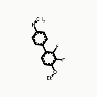 C=Nc1ccc(-c2ccc(OCC)c(F)c2F)cc1